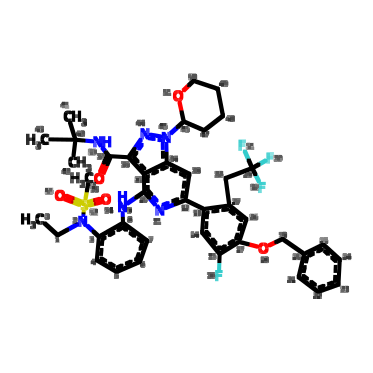 CCN(c1ccccc1Nc1nc(-c2cc(F)c(OCc3ccccc3)cc2CC(F)(F)F)cc2c1c(C(=O)NC(C)(C)C)nn2C1CCCCO1)S(C)(=O)=O